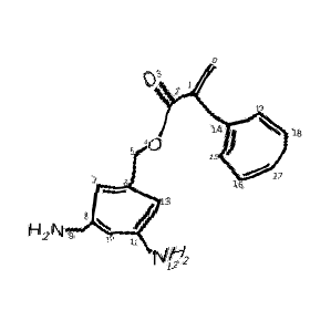 C=C(C(=O)OCc1cc(N)cc(N)c1)c1ccccc1